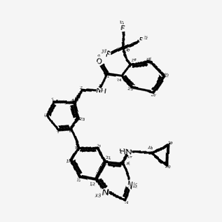 O=C(NCc1cccc(-c2ccc3ncnc(NC4CC4)c3c2)c1)c1ccccc1C(F)(F)F